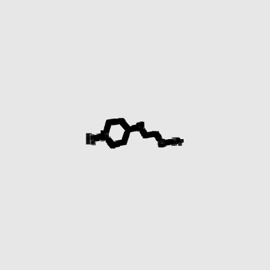 CCN1CCC(OCCOC(C)C)CC1